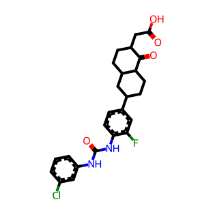 O=C(O)CC1CCC2CC(c3ccc(NC(=O)Nc4cccc(Cl)c4)c(F)c3)CCC2C1=O